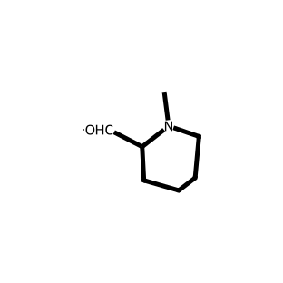 CN1CCCCC1[C]=O